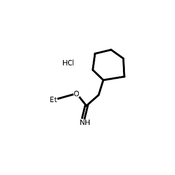 CCOC(=N)CC1CCCCC1.Cl